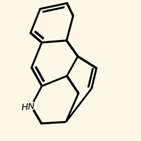 C1=CCC2C(=C1)C=C1NCC3C=CC2C1C3